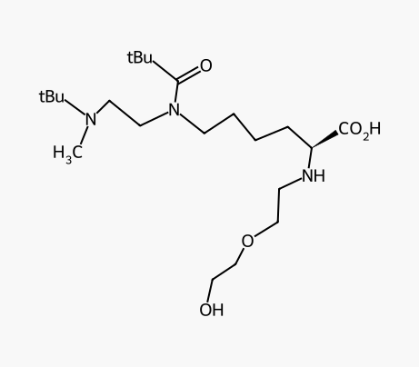 CN(CCN(CCCC[C@H](NCCOCCO)C(=O)O)C(=O)C(C)(C)C)C(C)(C)C